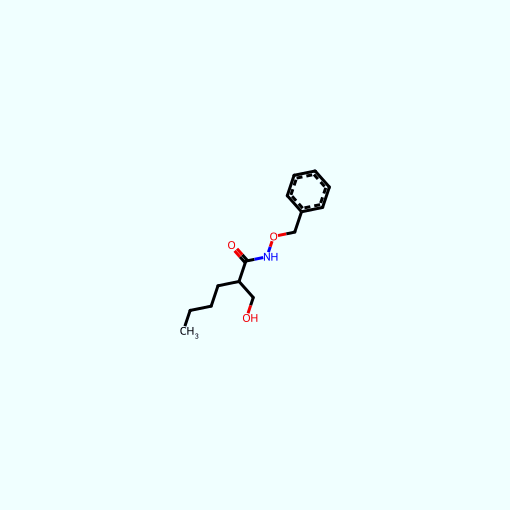 CCCCC(CO)C(=O)NOCc1ccccc1